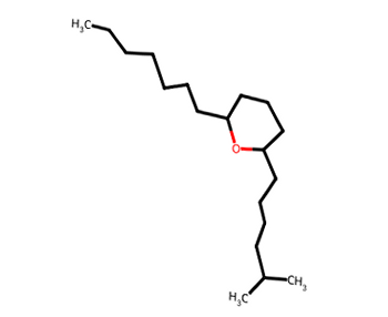 CCCCCCCC1CCCC(CCCCC(C)C)O1